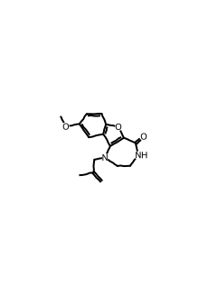 C=C(C)CN1CCNC(=O)c2oc3ccc(OC)cc3c21